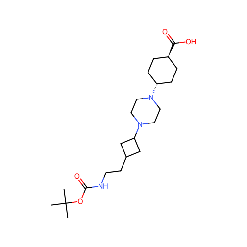 CC(C)(C)OC(=O)NCCC1CC(N2CCN([C@H]3CC[C@H](C(=O)O)CC3)CC2)C1